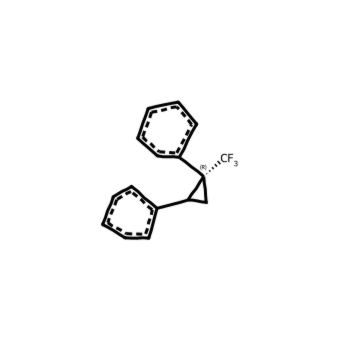 FC(F)(F)[C@]1(c2ccccc2)CC1c1ccccc1